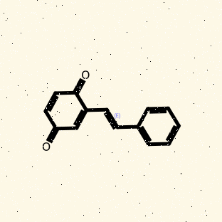 O=C1C=CC(=O)C(/C=C/c2ccccc2)=C1